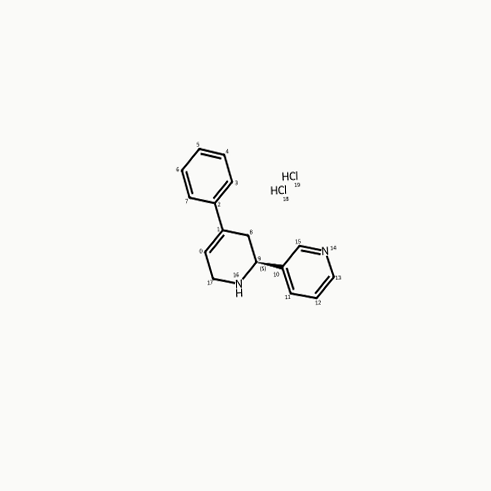 C1=C(c2ccccc2)C[C@@H](c2cccnc2)NC1.Cl.Cl